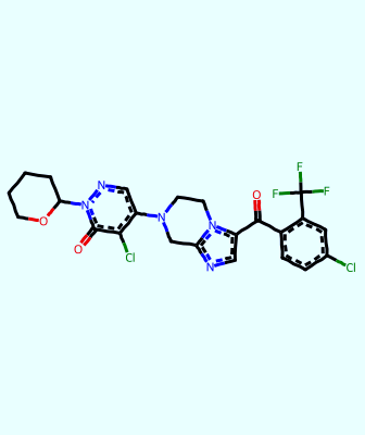 O=C(c1ccc(Cl)cc1C(F)(F)F)c1cnc2n1CCN(c1cnn(C3CCCCO3)c(=O)c1Cl)C2